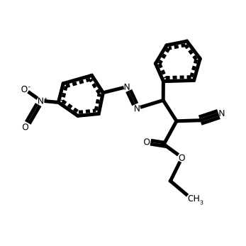 CCOC(=O)C(C#N)C(N=Nc1ccc([N+](=O)[O-])cc1)c1ccccc1